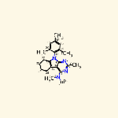 CCCN(C)c1nc(C)nc2c1c1c(n2-c2c(C)cc(C)cc2C)CCCC1